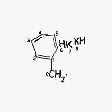 [CH2]c1ccccc1.[KH].[KH]